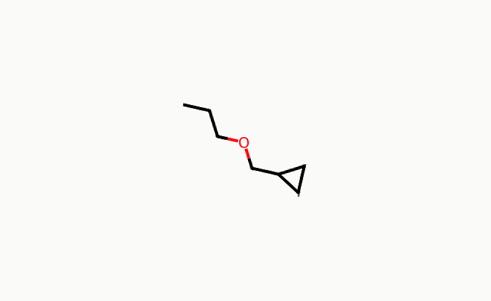 CCCOCC1[CH]C1